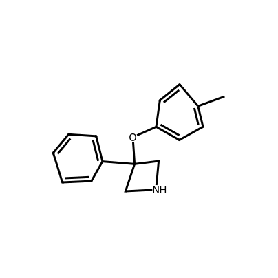 Cc1ccc(OC2(c3ccccc3)CNC2)cc1